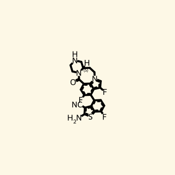 N#Cc1c(N)sc2c(F)ccc(-c3c(F)cc4c5c3c(F)cn5CC[C@H]3CNCCN3C4=O)c12